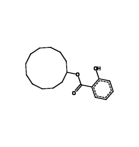 O=C(OC1CCCCCCCCCCC1)c1ccccc1O